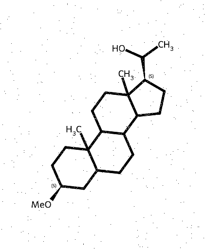 CO[C@H]1CCC2(C)C(CCC3C2CCC2(C)C3CC[C@@H]2C(C)O)C1